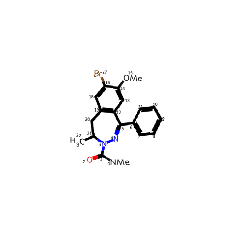 CNC(=O)N1N=C(c2ccccc2)c2cc(OC)c(Br)cc2CC1C